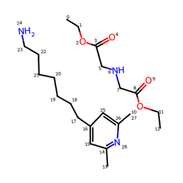 CCOC(=O)CNCC(=O)OCC.Cc1cc(CCCCCCCN)cc(C)n1